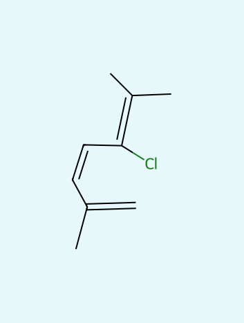 C=C(C)/C=C\C(Cl)=C(C)C